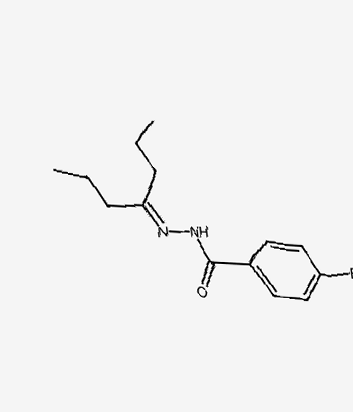 CCCC(CCC)=NNC(=O)c1ccc(F)cc1